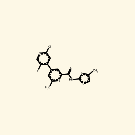 Cc1cc(-c2cc(Cl)ncc2F)cc(C(=O)Nc2nc(C)cs2)n1